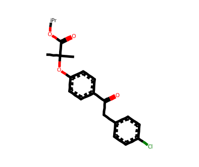 CC(C)OC(=O)C(C)(C)Oc1ccc(C(=O)Cc2ccc(Cl)cc2)cc1